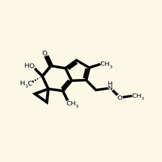 CONCC1=C(C)C=C2C(=O)[C@](C)(O)C3(CC3)C(C)=C21